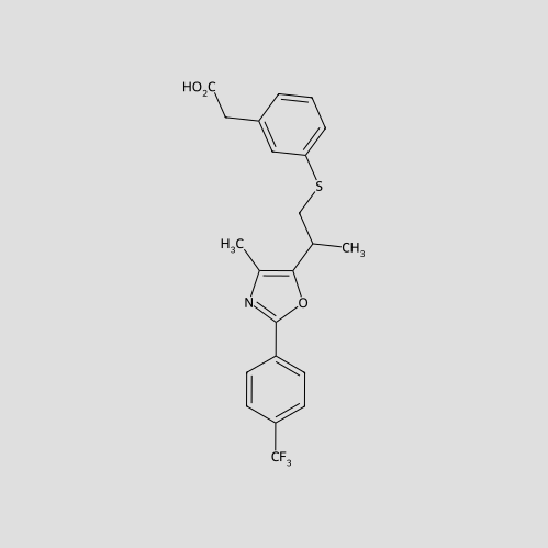 Cc1nc(-c2ccc(C(F)(F)F)cc2)oc1C(C)CSc1cccc(CC(=O)O)c1